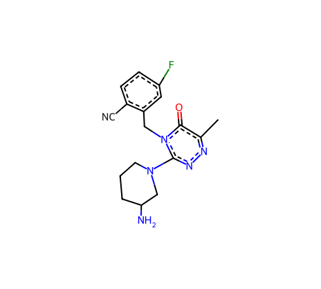 Cc1nnc(N2CCCC(N)C2)n(Cc2cc(F)ccc2C#N)c1=O